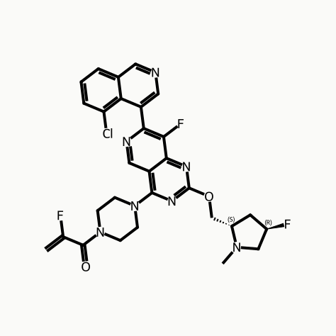 C=C(F)C(=O)N1CCN(c2nc(OC[C@@H]3C[C@@H](F)CN3C)nc3c(F)c(-c4cncc5cccc(Cl)c45)ncc23)CC1